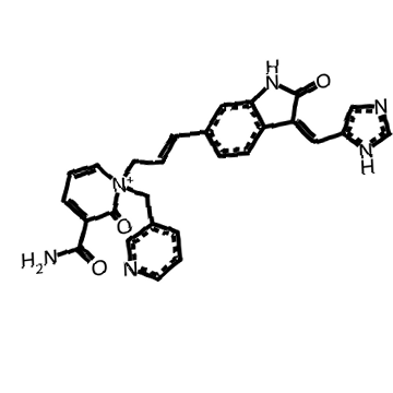 NC(=O)C1=CC=C[N+](C/C=C/c2ccc3c(c2)NC(=O)/C3=C\c2cnc[nH]2)(Cc2cccnc2)C1=O